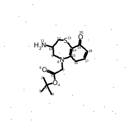 CC(C)(C)OC(=O)CN1CC(N)CSC2=C1CC=CC2=O